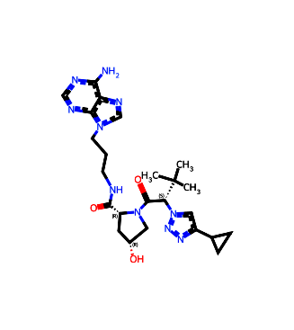 CC(C)(C)[C@@H](C(=O)N1C[C@H](O)C[C@@H]1C(=O)NCCCn1cnc2c(N)ncnc21)n1cc(C2CC2)nn1